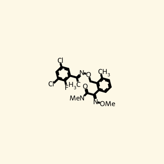 CNC(=O)/C(=N/OC)c1cccc(C)c1CO/N=C(\C)c1cc(Cl)cc(Cl)c1F